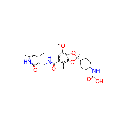 COc1cc(C(=O)NCc2c(C)cc(C)[nH]c2=O)c(C)c2c1OC(C)([C@H]1CC[C@H](NC(=O)O)CC1)O2